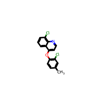 Cc1ccc(Oc2ccnc3c(Cl)cccc23)c(Cl)c1